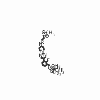 CC(C)(C)[Si](C)(C)OCc1cccc(-c2cnc(N3CCC(=NOCCCS(C)(=O)=O)CC3)nc2)c1F